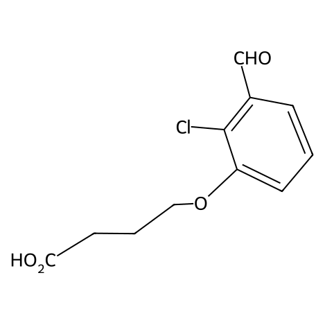 O=Cc1cccc(OCCCC(=O)O)c1Cl